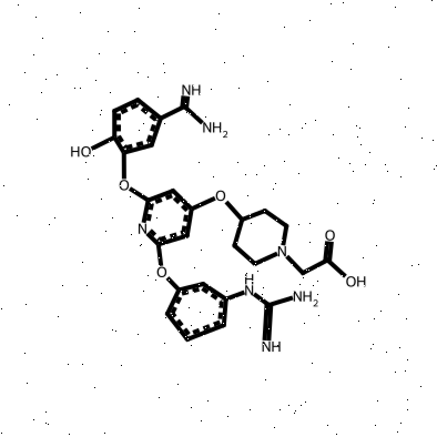 N=C(N)Nc1cccc(Oc2cc(OC3CCN(CC(=O)O)CC3)cc(Oc3cc(C(=N)N)ccc3O)n2)c1